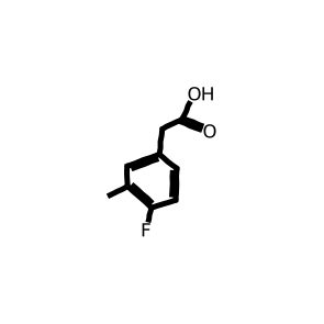 Cc1cc(CC(=O)O)ccc1F